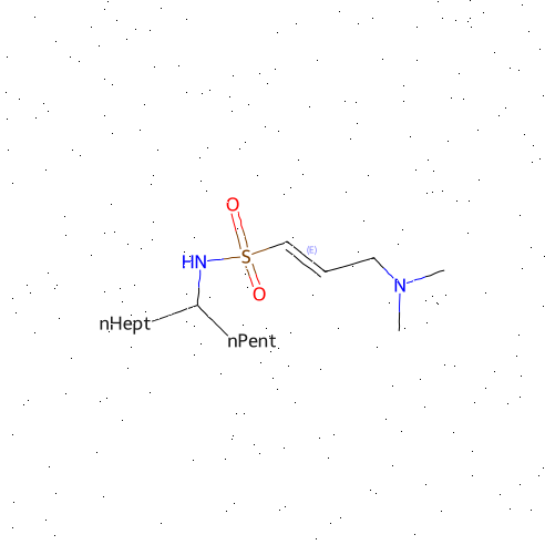 CCCCCCCC(CCCCC)NS(=O)(=O)/C=C/CN(C)C